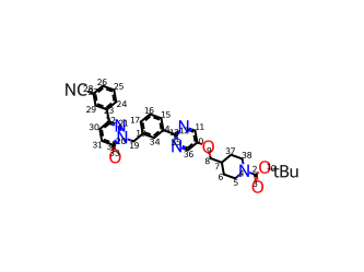 CC(C)(C)OC(=O)N1CCC(COc2cnc(-c3cccc(Cn4nc(-c5cccc(C#N)c5)ccc4=O)c3)nc2)CC1